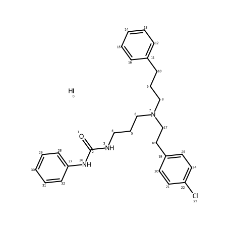 I.O=C(NCCCN(CCCc1ccccc1)CCc1ccc(Cl)cc1)Nc1ccccc1